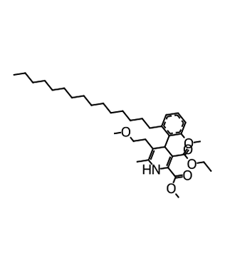 CCCCCCCCCCCCCCCc1cccc(OC)c1C1C(CCOC)=C(C)NC(C(=O)OC)=C1C(=O)OCC